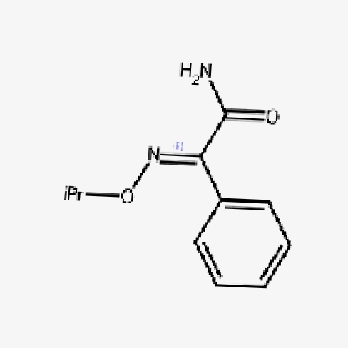 CC(C)O/N=C(/C(N)=O)c1ccccc1